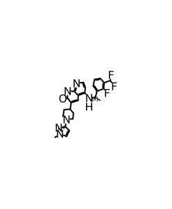 C[C@@H](Nc1ccnc2c1cc(C1CCN(c3ccn(C)n3)CC1)c(=O)n2C)c1cccc(C(F)F)c1F